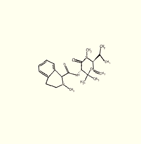 C=C[C@H](C(C)C)N(C)C(=O)[C@@H](NC(=O)C1c2ccccc2CCN1C)C(C)(C)C